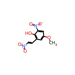 COc1cc(C=C[N+](=O)[O-])c(O)c([N+](=O)[O-])c1